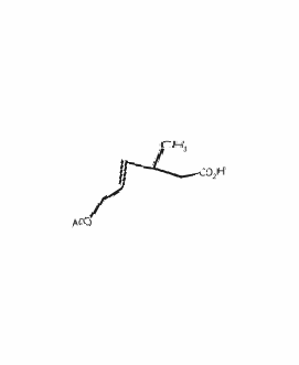 CC(=O)OCC=CC(C)CC(=O)O